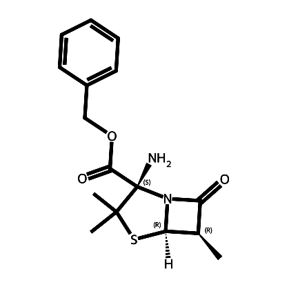 C[C@@H]1C(=O)N2[C@@H]1SC(C)(C)[C@]2(N)C(=O)OCc1ccccc1